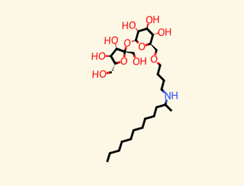 CCCCCCCCCCC(C)NCCCCOC[C@H]1O[C@H](O[C@]2(CO)O[C@H](CO)[C@@H](O)[C@@H]2O)[C@H](O)[C@@H](O)[C@@H]1O